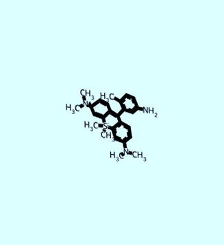 Cc1ccc(N)cc1C1=C2C=CC(=[N+](C)C)C=C2[Si](C)(C)c2cc(N(C)C)ccc21